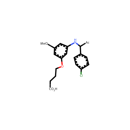 COc1cc(NC(C(C)=O)c2ccc(Cl)cc2)cc(OCCCC(=O)O)c1